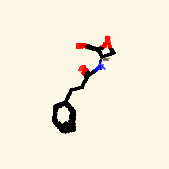 O=C(CCc1ccccc1)N[C@H]1COC1=O